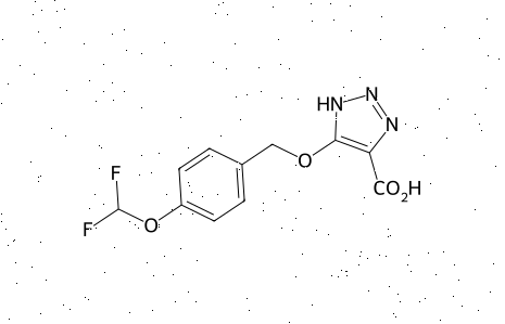 O=C(O)c1nn[nH]c1OCc1ccc(OC(F)F)cc1